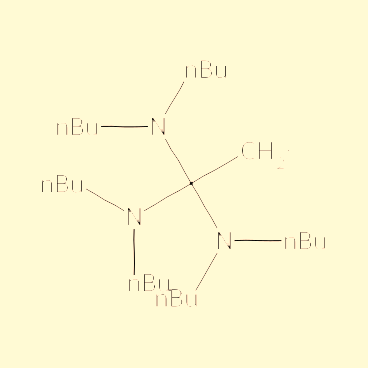 [CH2]C(N(CCCC)CCCC)(N(CCCC)CCCC)N(CCCC)CCCC